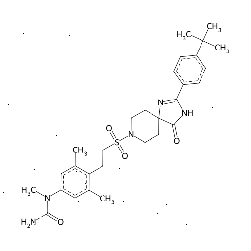 Cc1cc(N(C)C(N)=O)cc(C)c1CCS(=O)(=O)N1CCC2(CC1)N=C(c1ccc(C(C)(C)C)cc1)NC2=O